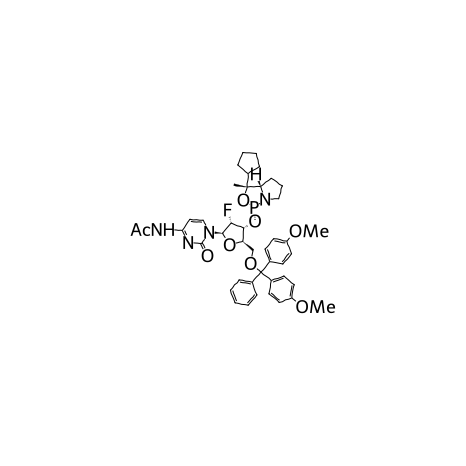 COc1ccc(C(OC[C@H]2O[C@@H](n3ccc(NC(C)=O)nc3=O)[C@H](F)[C@@H]2O[P@]2O[C@](C)(C3CCCC3)[C@@H]3CCCN32)(c2ccccc2)c2ccc(OC)cc2)cc1